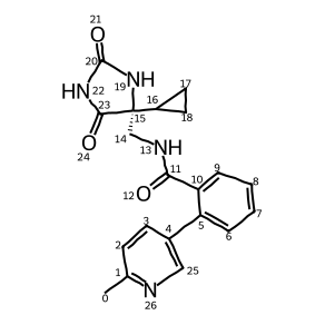 Cc1ccc(-c2ccccc2C(=O)NC[C@@]2(C3CC3)NC(=O)NC2=O)cn1